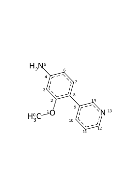 COc1cc(N)ccc1-c1cccnc1